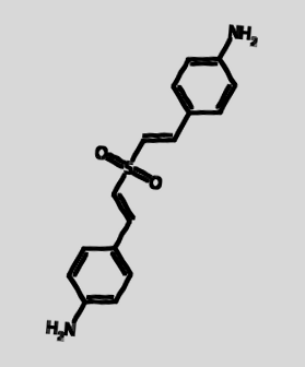 Nc1ccc(C=CS(=O)(=O)C=Cc2ccc(N)cc2)cc1